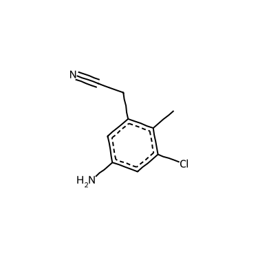 Cc1c(Cl)cc(N)cc1CC#N